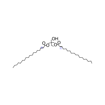 CCCCCCCCCCCCCCC/C=C/C(=O)OCC(CC)(CO)COC(=O)/C=C/CCCCCCCCCCCCCCC